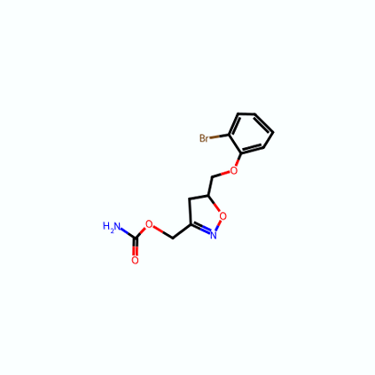 NC(=O)OCC1=NOC(COc2ccccc2Br)C1